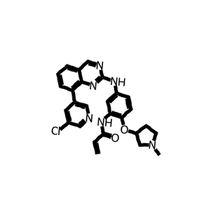 C=CC(=O)Nc1cc(Nc2ncc3cccc(-c4cncc(Cl)c4)c3n2)ccc1OC1CCN(C)C1